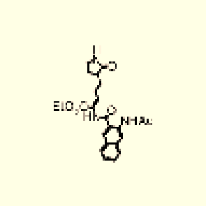 CCOC(=O)C(=CCC[C@H]1CCNC1=O)NC(=O)c1cc2ccccc2cc1NC(C)=O